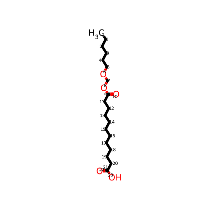 CCCCCCOCOC(=O)CCCCCCCCCCC(=O)O